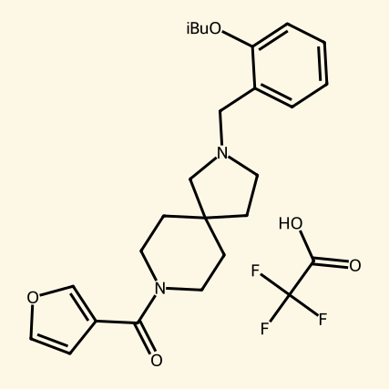 CC(C)COc1ccccc1CN1CCC2(CCN(C(=O)c3ccoc3)CC2)C1.O=C(O)C(F)(F)F